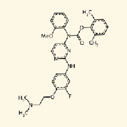 COc1ccccc1N(C(=O)Oc1c(C)cccc1C)c1ccnc(Nc2ccc(OCCN(C)C)c(F)c2)n1